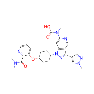 CN(C)C(=O)c1ncccc1O[C@H]1CC[C@@H](n2nc(-c3cnn(C)c3)c3cnc(N(C)C(=O)O)cc32)CC1